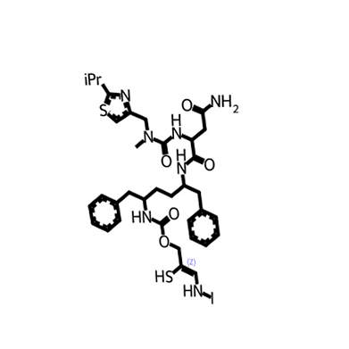 CC(C)c1nc(CN(C)C(=O)NC(CC(N)=O)C(=O)NC(CCC(Cc2ccccc2)NC(=O)OC/C(S)=C/NI)Cc2ccccc2)cs1